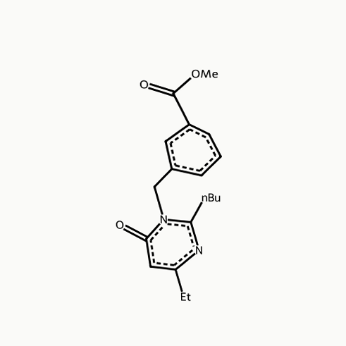 CCCCc1nc(CC)cc(=O)n1Cc1cccc(C(=O)OC)c1